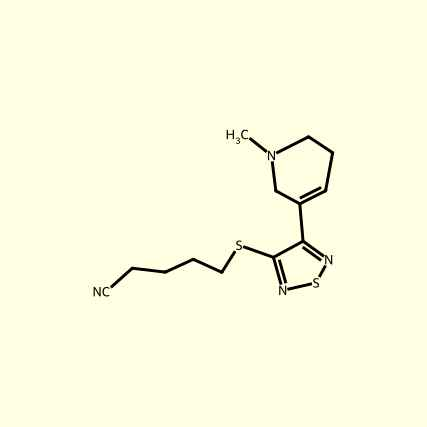 CN1CCC=C(c2nsnc2SCCCCC#N)C1